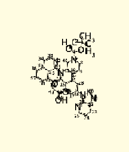 CC(C)(C)OC(=O)N1CCC[C@@H](N(C(=O)c2ccc(-n3nnc4cccnc43)cc2F)c2nccc3cccc(/C=C/C(=O)O)c23)C1